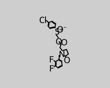 O=C(CC1CCC(=O)N1Cc1cccc(F)c1F)OCC[S+]([O-])c1ccc(Cl)cc1